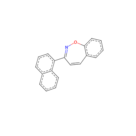 C1=Cc2ccccc2ON=C1c1cccc2ccccc12